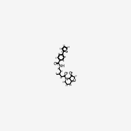 CC(CCNC(=O)c1ccc(-c2cccs2)cc1)CC(=O)N1CCCC2OCC(=O)C21